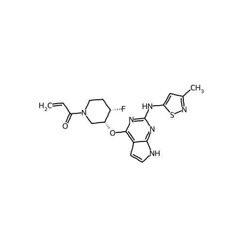 C=CC(=O)N1CC[C@H](F)[C@H](Oc2nc(Nc3cc(C)ns3)nc3[nH]ccc23)C1